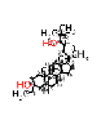 CC[C@]1(O)CC[C@@]2(C)[C@H](CC[C@@H]3[C@@H]2CC[C@]2(C)[C@@H]([C@H](C)CC[C@H](O)C(C)(C)C)CC[C@@H]32)C1